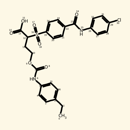 CCc1ccc(NC(=O)OCCC(C(=O)O)S(=O)(=O)c2ccc(C(=O)Nc3ccc(Cl)cc3)cc2)cc1